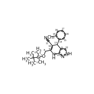 CC(C)(C)[Si](C)(C)OCC1=C(C#N)C(c2ccccc2Cl)c2c[nH]nc2N1